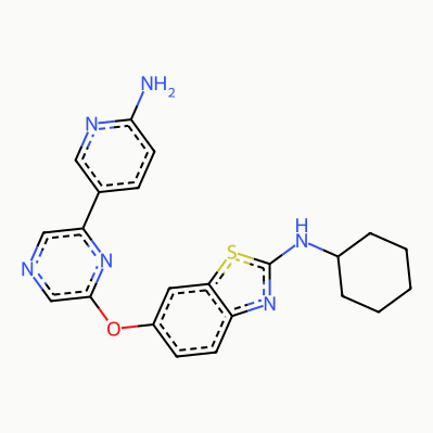 Nc1ccc(-c2cncc(Oc3ccc4nc(NC5CCCCC5)sc4c3)n2)cn1